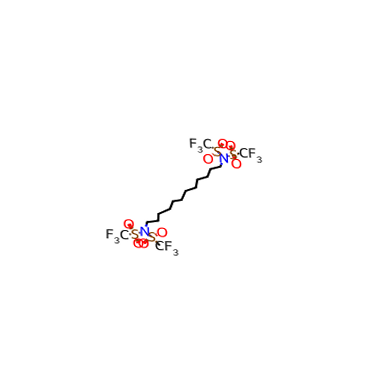 O=S(=O)(N(CCCCCCCCCCCCN(S(=O)(=O)C(F)(F)F)S(=O)(=O)C(F)(F)F)S(=O)(=O)C(F)(F)F)C(F)(F)F